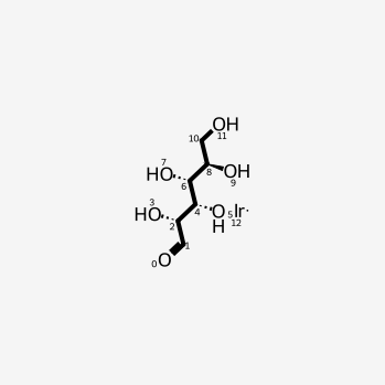 O=C[C@H](O)[C@@H](O)[C@H](O)[C@H](O)CO.[Ir]